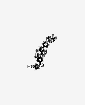 O=C(c1ccc(Nc2ncnc3c2c(F)cn3C2CCN(c3noc(C(F)(F)F)n3)CC2)c(F)c1)N1CC[C@@H](O)C1